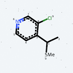 CSC(C)c1ccncc1Cl